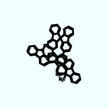 Cn1c2ccccc2c2cccc(N(c3ccccc3)c3ccc4c(c3)C3(c5ccccc5-c5ccc(N(c6ccc7c(c6)C(C)(C)c6ccccc6-7)c6ccccc6-c6ccccc6)cc53)c3ccccc3-4)c21